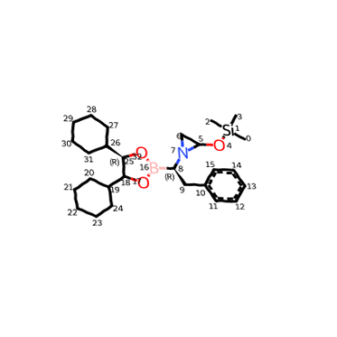 C[Si](C)(C)OC1CN1[C@@H](Cc1ccccc1)B1OC(C2CCCCC2)[C@@H](C2CCCCC2)O1